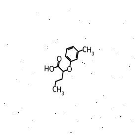 CCCC(Oc1cccc(C)c1)C(=O)O